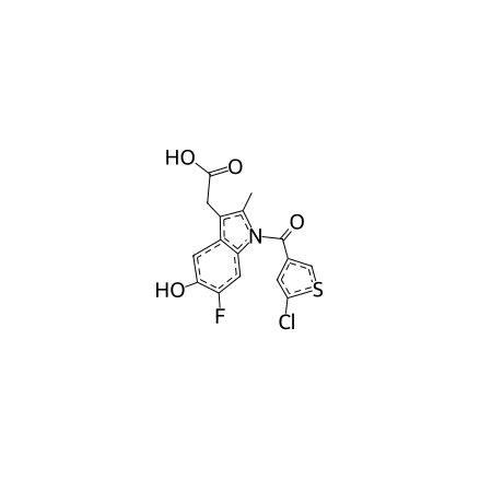 Cc1c(CC(=O)O)c2cc(O)c(F)cc2n1C(=O)c1csc(Cl)c1